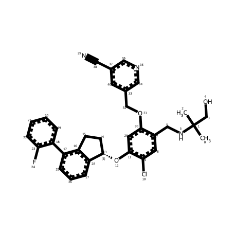 CC(C)(CO)NCc1cc(Cl)c(O[C@H]2CCc3c(-c4ccccc4F)cccc32)cc1OCc1cncc(C#N)c1